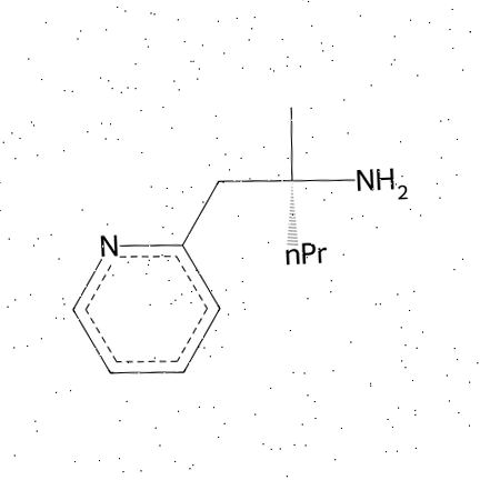 CCC[C@](C)(N)Cc1ccccn1